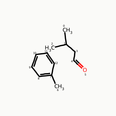 CC(C)CC=O.Cc1ccccc1